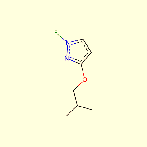 CC(C)COc1ccn(F)n1